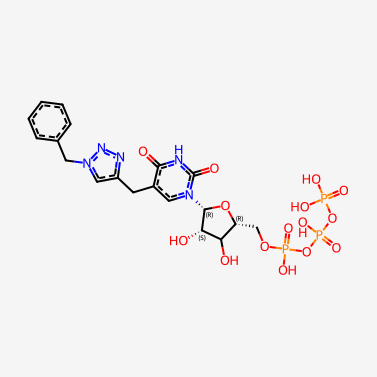 O=c1[nH]c(=O)n([C@@H]2O[C@H](COP(=O)(O)OP(=O)(O)OP(=O)(O)O)C(O)[C@@H]2O)cc1Cc1cn(Cc2ccccc2)nn1